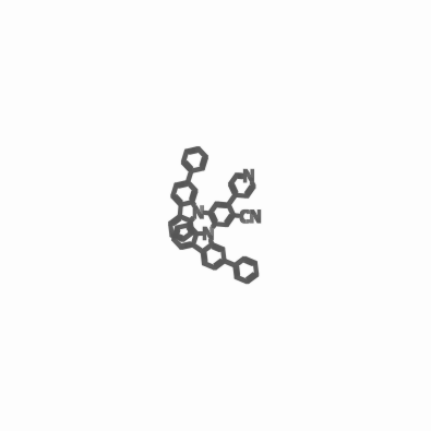 N#Cc1cc(-n2c3ccccc3c3ccc(-c4ccccc4)cc32)c(-n2c3ccccc3c3ccc(-c4ccccc4)cc32)cc1-c1ccncc1